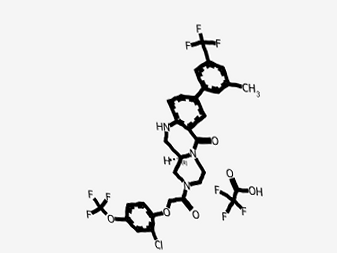 Cc1cc(-c2ccc3c(c2)C(=O)N2CCN(C(=O)COc4ccc(OC(F)(F)F)cc4Cl)C[C@H]2CN3)cc(C(F)(F)F)c1.O=C(O)C(F)(F)F